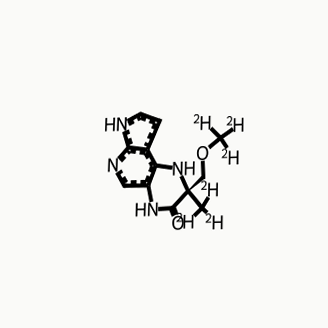 [2H]C([2H])([2H])OC[C@]1(C([2H])([2H])[2H])Nc2c(cnc3[nH]ccc23)NC1=O